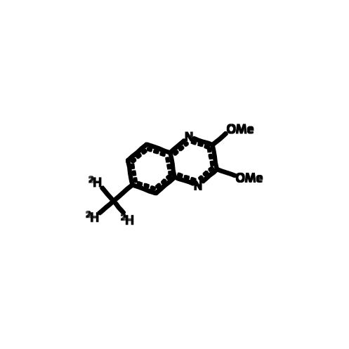 [2H]C([2H])([2H])c1ccc2nc(OC)c(OC)nc2c1